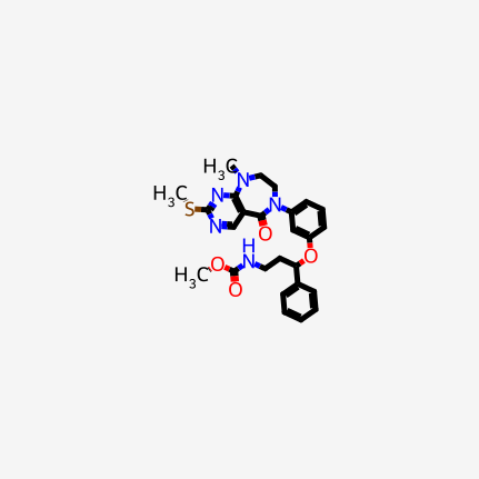 COC(=O)NCCC(Oc1cccc(N2CCN(C)c3nc(SC)ncc3C2=O)c1)c1ccccc1